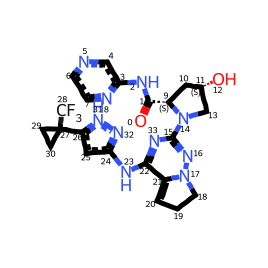 O=C(Nc1cnccn1)[C@@H]1C[C@H](O)CN1C1=NN2CCC=C2C(Nc2cc(C3(C(F)(F)F)CC3)[nH]n2)=N1